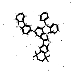 CC1(C)CCC(C)(C)c2cc3c4c(sc3cc21)B1c2ccccc2N(c2ccccc2)c2cc(-c3ccc5sc6ccccc6c5c3)cc-4c21